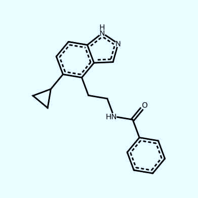 O=C(NCCc1c(C2CC2)ccc2[nH]ncc12)c1ccccc1